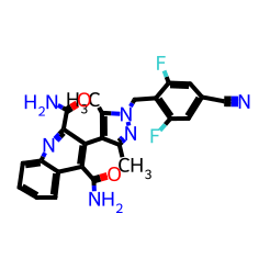 Cc1nn(Cc2c(F)cc(C#N)cc2F)c(C)c1-c1c(C(N)=O)nc2ccccc2c1C(N)=O